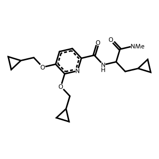 CNC(=O)C(CC1CC1)NC(=O)c1ccc(OCC2CC2)c(OCC2CC2)n1